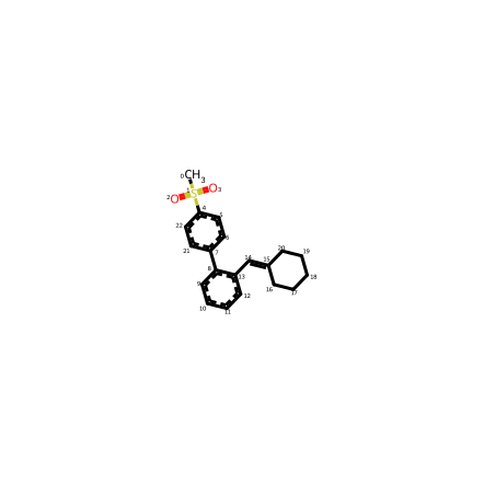 CS(=O)(=O)c1ccc(-c2ccccc2C=C2CCCCC2)cc1